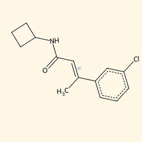 C/C(=C\C(=O)NC1CCC1)c1cccc(Cl)c1